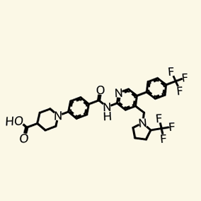 O=C(Nc1cc(CN2CCCC2C(F)(F)F)c(-c2ccc(C(F)(F)F)cc2)cn1)c1ccc(N2CCC(C(=O)O)CC2)cc1